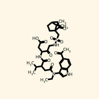 CCN(C(=O)CC(C(=O)NC(CC(=O)O)C(=O)CNS(=O)(=O)CC12CCC(CC1=O)C2(C)C)C(C)C)c1c[nH]c2ccc(C(C)=O)cc12